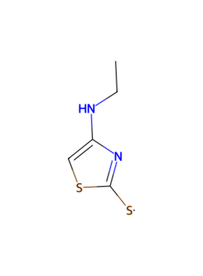 CCNc1csc([S])n1